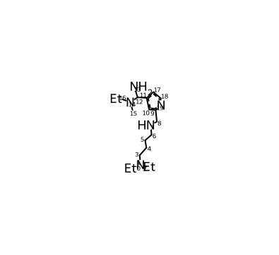 CCN(CC)CCCCNCc1cc(C(N)N(C)CC)ccn1